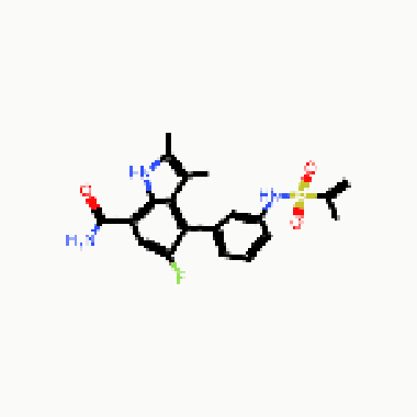 C=C(C)S(=O)(=O)Nc1cccc(-c2c(F)cc(C(N)=O)c3[nH]c(C)c(C)c23)c1